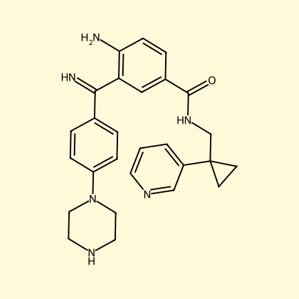 N=C(c1ccc(N2CCNCC2)cc1)c1cc(C(=O)NCC2(c3cccnc3)CC2)ccc1N